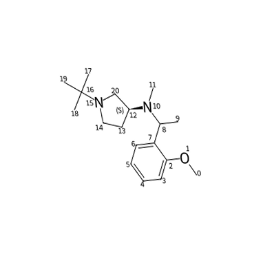 COc1ccccc1C(C)N(C)[C@H]1CCN(C(C)(C)C)C1